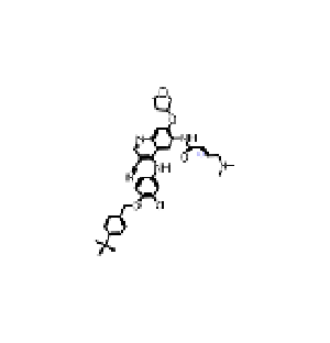 CN(C)C/C=C/C(=O)Nc1cc2c(Nc3ccc(OCc4ccc(C(C)(C)C)cc4)c(Cl)c3)c(C#N)cnc2cc1OC1CCOC1